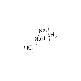 Cl.S.[NaH].[NaH]